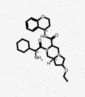 CCOC1C[C@@H]2CN(C(=O)[C@@H](N)C3CCCCC3)C(C(=O)N[C@@H]3CCOc4ccccc43)CN2C1